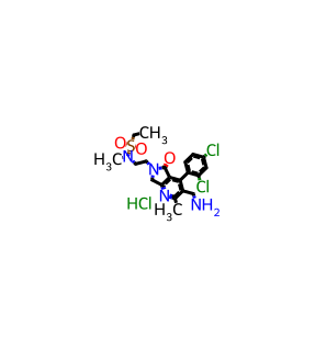 CCS(=O)(=O)N(C)CCN1Cc2nc(C)c(CN)c(-c3ccc(Cl)cc3Cl)c2C1=O.Cl